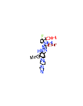 COc1cc(Nc2ncc(Br)c(Nc3cccc(F)c3C(C)(C)O)n2)c(C)cc1N1CCC(N2CCN(C)CC2)CC1